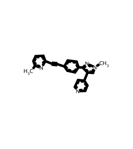 Cc1cccc(C#Cc2ccc(-c3nn(C)cc3-c3ccncc3)cc2)n1